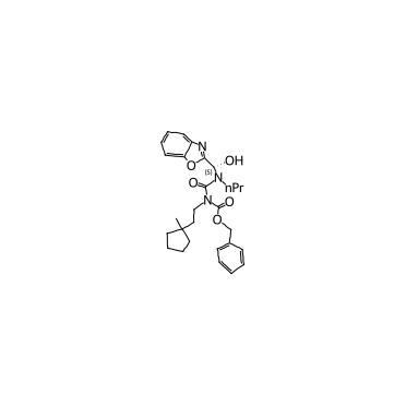 CCCN(C(=O)N(CCC1(C)CCCC1)C(=O)OCc1ccccc1)[C@@H](O)c1nc2ccccc2o1